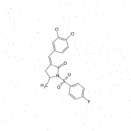 CC1C/C(=C/c2ccc(Cl)c(Cl)c2)C(=O)N1S(=O)(=O)c1ccc(F)cc1